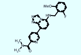 COc1cccc(F)c1CNc1ccc(-c2ccc(C(=O)N(C)C)nc2)c2nncn12